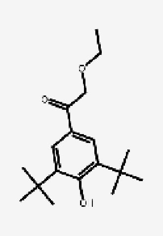 CCOCC(=O)c1cc(C(C)(C)C)c(O)c(C(C)(C)C)c1